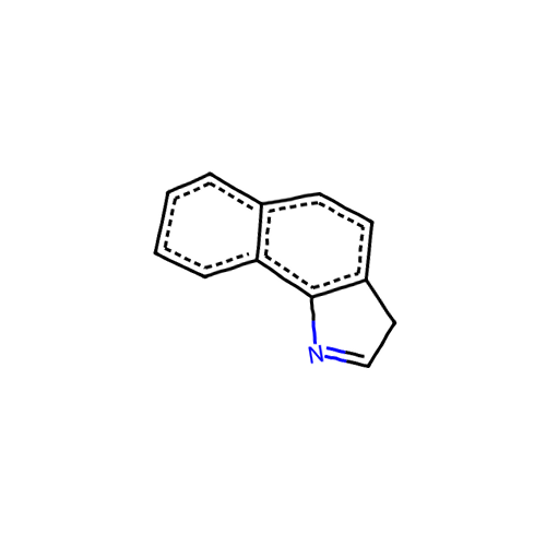 C1=Nc2c(ccc3ccccc23)C1